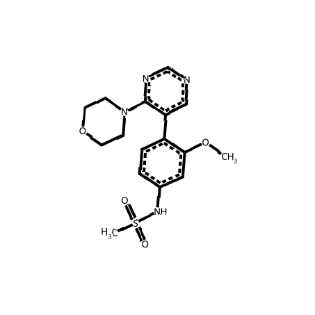 COc1cc(NS(C)(=O)=O)ccc1-c1cncnc1N1CCOCC1